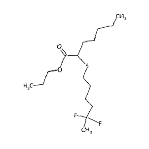 CCCCCC(SCCCCC(C)(F)F)C(=O)OCCC